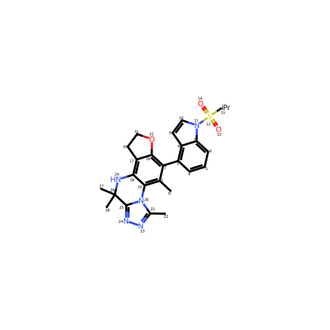 Cc1c(-c2cccc3c2ccn3S(=O)(=O)C(C)C)c2c(c3c1-n1c(C)nnc1C(C)(C)N3)CCO2